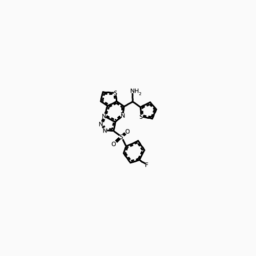 NC(c1cccs1)c1nc2c(S(=O)(=O)c3ccc(F)cc3)nnn2c2ccsc12